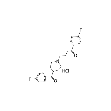 Cl.O=C(CCCN1CCC(C(=O)c2ccc(F)cc2)CC1)c1ccc(F)cc1